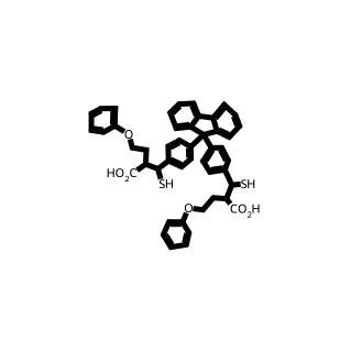 O=C(O)C(CCOc1ccccc1)C(S)c1ccc(C2(c3ccc(C(S)C(CCOc4ccccc4)C(=O)O)cc3)c3ccccc3-c3ccccc32)cc1